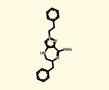 CNC1=NC(Cc2ccccc2)CNc2cn(CCc3ccccc3)nc21